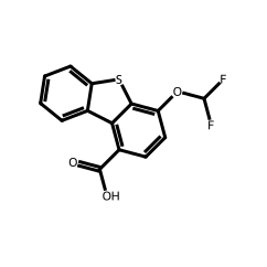 O=C(O)c1ccc(OC(F)F)c2sc3ccccc3c12